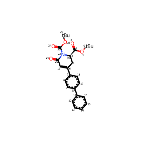 CC(C)(C)OC(=O)[C@H]1CC(c2ccc(-c3ccccc3)cc2)=CC(=O)N1C(=O)OC(C)(C)C